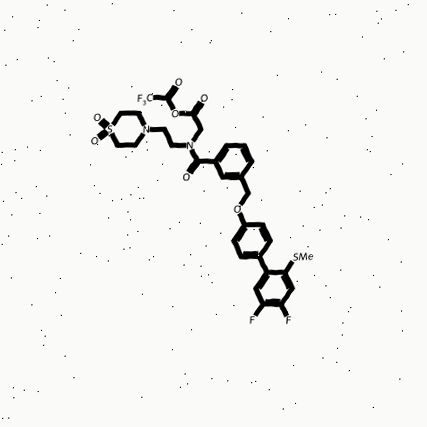 CSc1cc(F)c(F)cc1-c1ccc(OCc2cccc(C(=O)N(CCN3CCS(=O)(=O)CC3)CC(=O)OC(=O)C(F)(F)F)c2)cc1